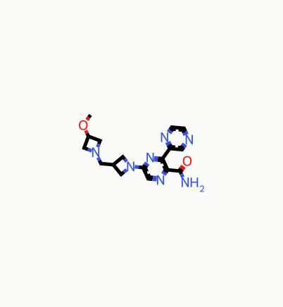 COC1CN(CC2CN(c3cnc(C(N)=O)c(-c4cnccn4)n3)C2)C1